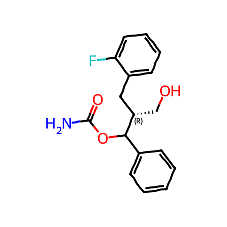 NC(=O)OC(c1ccccc1)[C@@H](CO)Cc1ccccc1F